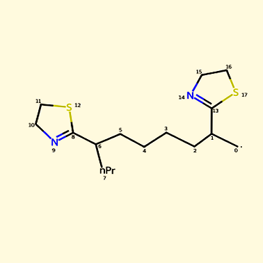 [CH2]C(CCCCC(CCC)C1=NCCS1)C1=NCCS1